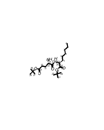 CCCCCC[C@H](NC(=O)[C@@H](N)CCC(=O)OC(C)(C)C)C(=O)OC(C)(C)C